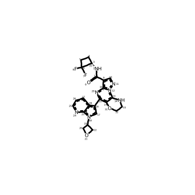 O=C(N[C@H]1CCC1(F)F)c1cnn2c3c(c(-c4cn(C5COC5)c5ncccc45)nc12)OCCN3